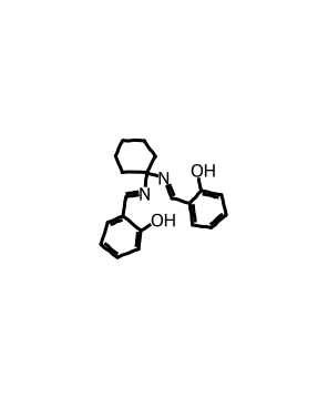 Oc1ccccc1C=NC1(N=Cc2ccccc2O)CCCCC1